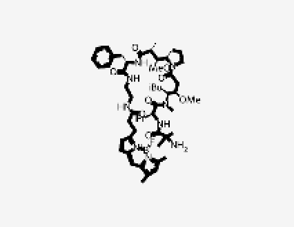 CC[C@H](C)[C@@H]([C@@H](CC(=O)N1CCC[C@H]1[C@H](OC)[C@@H](C)C(=O)N[C@@H](Cc1ccccc1)C(=O)NCCNC(=O)CCC1=[N+]2B(F)n3c(C)cc(C)c3C=C2C=C1)OC)N(C)C(=O)[C@@H](NC(=O)C(C)(C)N)C(C)C